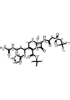 CC(C)(C)OC(=O)C1=C(C(CCNC(N)=O)Sc2nnn[nH]2)CS[C@H]2C(NC(=O)CS(=O)(=O)CC(F)(F)F)C(=O)N12